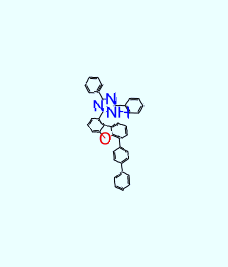 c1ccc(C2=NC(c3cccc4oc5c(-c6ccc(-c7ccccc7)cc6)cccc5c34)NC(c3ccccc3)=N2)cc1